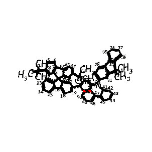 CC(C)(C)c1ccc2c(c1)C1(c3ccccc3-c3ccc(-c4ccc(N(c5ccc6c(c5)C(C)(C)c5ccccc5-6)c5ccccc5-c5ccccc5)cc4)cc31)c1cc(C(C)(C)C)ccc1-2